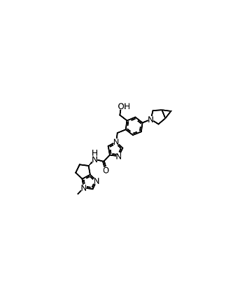 Cn1cnc2c1CC[C@H]2NC(=O)c1cn(Cc2ccc(N3CC4CC4C3)cc2CO)cn1